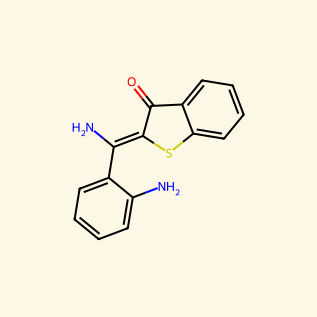 N/C(=C1/Sc2ccccc2C1=O)c1ccccc1N